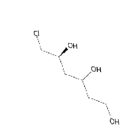 OCCC(O)C[C@H](O)CCl